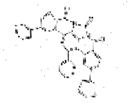 O=c1c2ccc(-c3ccccc3)cc2c2cc(-c3ccccc3)c3c4cc(-c5ccccc5)ccc4c(=O)n4c(=O)n1c2c34